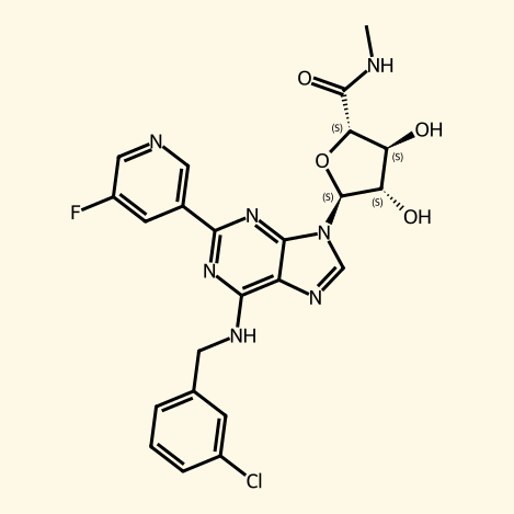 CNC(=O)[C@H]1O[C@H](n2cnc3c(NCc4cccc(Cl)c4)nc(-c4cncc(F)c4)nc32)[C@@H](O)[C@@H]1O